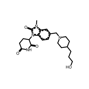 Cn1c(=O)n(C2CCC(=O)NC2=O)c2ccc(CN3CCC(CCCO)CC3)cc21